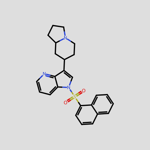 O=S(=O)(c1cccc2ccccc12)n1cc(C2CCN3CCCC3C2)c2ncccc21